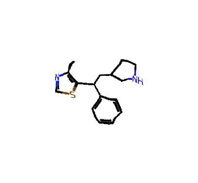 Cc1ncsc1C(CC1CCNC1)c1ccccc1